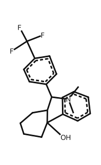 CN(C)C(c1ccc(C(F)(F)F)cc1)C1CCCCC1(O)c1ccccc1